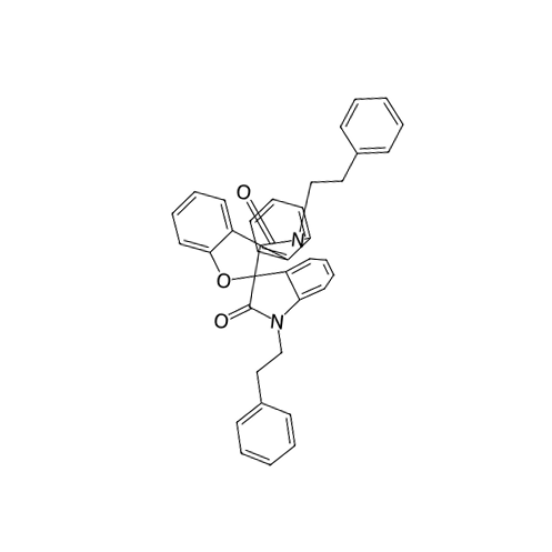 O=C1N(CCc2ccccc2)c2ccccc2C12Oc1ccccc1C21C(=O)N(CCc2ccccc2)c2ccccc21